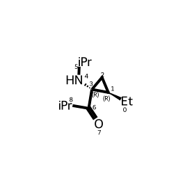 CC[C@@H]1C[C@]1(NC(C)C)C(=O)C(C)C